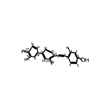 Cc1cc(O)ccc1C#Cc1ccc(-c2ccc(F)c(F)c2)cc1F